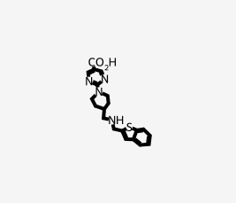 O=C(O)c1cnc(N2CCC(CNCc3cc4ccccc4s3)CC2)nc1